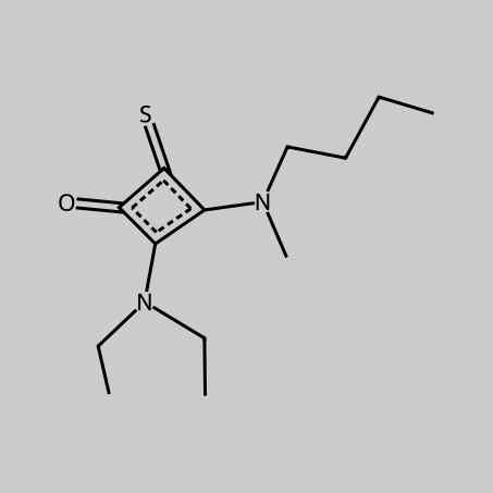 CCCCN(C)c1c(N(CC)CC)c(=O)c1=S